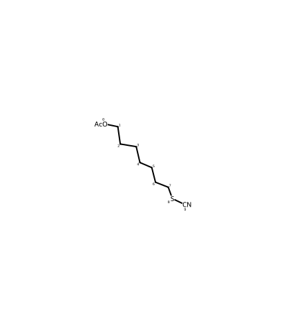 CC(=O)OCCCCCCCSC#N